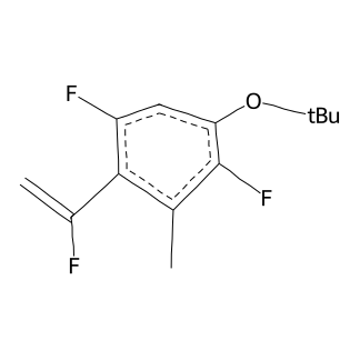 C=C(F)c1c(F)cc(OC(C)(C)C)c(F)c1C